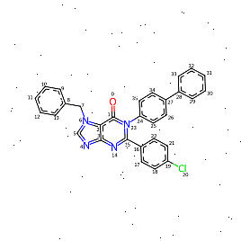 O=c1c2c(ncn2Cc2ccccc2)nc(-c2ccc(Cl)cc2)n1-c1ccc(-c2ccccc2)cc1